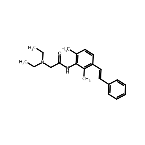 CCN(CC)CC(=O)Nc1c(C)ccc(C=Cc2ccccc2)c1C